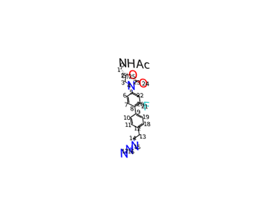 CC(=O)NC[C@H]1CN(c2ccc(-c3ccc(CCN=[N+]=[N-])cc3)c(F)c2)C(=O)O1